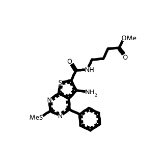 COC(=O)CCCNC(=O)c1sc2nc(SC)nc(-c3ccccc3)c2c1N